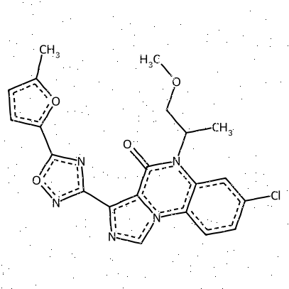 COCC(C)n1c(=O)c2c(-c3noc(-c4ccc(C)o4)n3)ncn2c2ccc(Cl)cc21